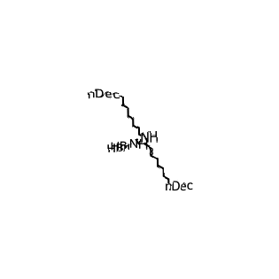 Br.Br.CC.CCCCCCCCCCCCCCCCCCNCCCCCCCCCCCCCCCCCC.N